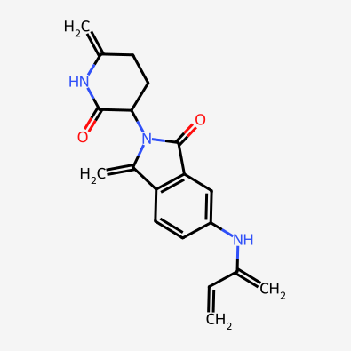 C=CC(=C)Nc1ccc2c(c1)C(=O)N(C1CCC(=C)NC1=O)C2=C